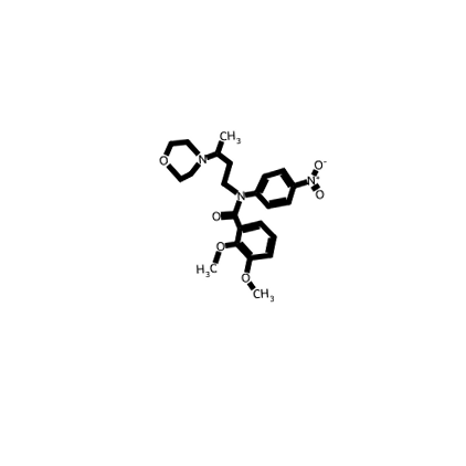 COc1cccc(C(=O)N(CCC(C)N2CCOCC2)c2ccc([N+](=O)[O-])cc2)c1OC